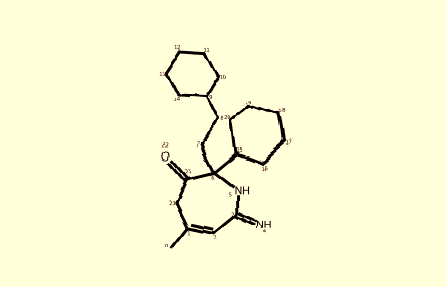 CC1=CC(=N)NC(CCC2CCCCC2)(C2CCCCC2)C(=O)C1